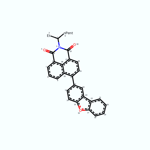 CCCCCC(CC)N1C(=O)c2cccc3c(-c4ccc5oc6ccccc6c5c4)ccc(c23)C1=O